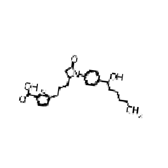 CCCCCC(O)c1ccc(N2C(=O)CC2CCCc2ccc(C(=O)O)s2)cc1